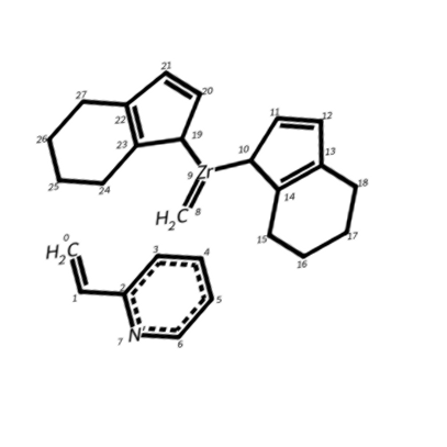 C=Cc1ccccn1.[CH2]=[Zr]([CH]1C=CC2=C1CCCC2)[CH]1C=CC2=C1CCCC2